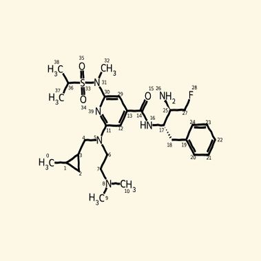 CC1CC1CN(CCN(C)C)c1cc(C(=O)N[C@@H](Cc2ccccc2)[C@@H](N)CF)cc(N(C)S(=O)(=O)C(C)C)n1